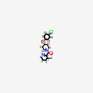 Cc1cccnc1C(=O)N1CCC(Oc2ccc(Cl)cc2)CC1